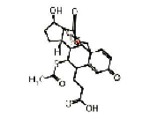 CC(=O)S[C@@H]1C(CCC(=O)O)C2=CC(=O)C=C[C@@]23COC(=O)[C@]24CCC3[C@@H]1[C@@H]2CC[C@H]4O